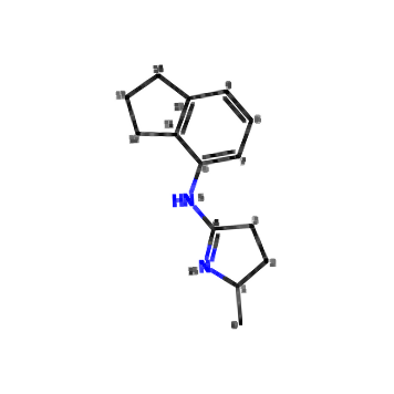 CC1CCC(Nc2cccc3c2CCC3)=N1